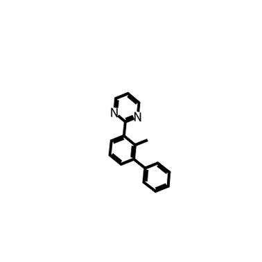 Cc1c(-c2ccccc2)cccc1-c1ncccn1